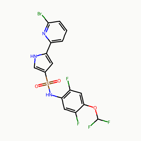 O=S(=O)(Nc1cc(F)c(OC(F)F)cc1F)c1c[nH]c(-c2cccc(Br)n2)c1